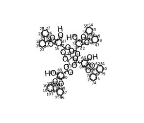 O=C(OC[C@H]1O[C@H](OC(=O)c2cc(O)c3c(c2)OC(c2ccccc2)(c2ccccc2)O3)[C@H](OC(=O)c2cc(O)c3c(c2)OC(c2ccccc2)(c2ccccc2)O3)[C@@H]1OC(=O)c1cc(O)c2c(c1)OC(c1ccccc1)(c1ccccc1)O2)c1cc(O)c2c(c1)OC(c1ccccc1)(c1ccccc1)O2